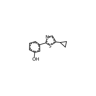 Oc1cccc(-c2ncc(C3CC3)s2)c1